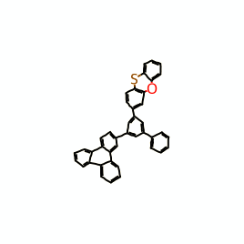 c1ccc(-c2cc(-c3ccc4c(c3)Oc3ccccc3S4)cc(-c3ccc4c5ccccc5c5ccccc5c4c3)c2)cc1